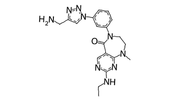 CCNc1ncc2c(n1)N(C)CCN(c1cccc(-n3cc(CN)nn3)c1)C2=O